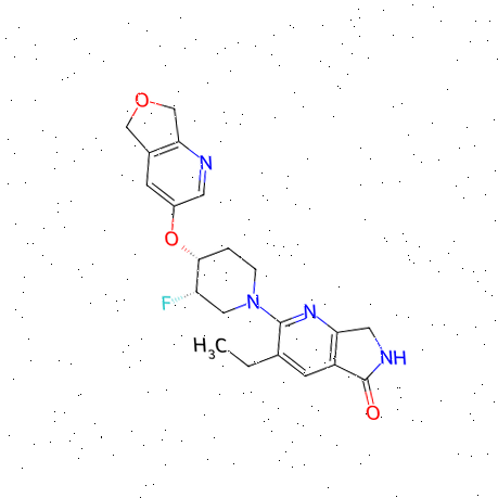 CCc1cc2c(nc1N1CC[C@@H](Oc3cnc4c(c3)COC4)[C@@H](F)C1)CNC2=O